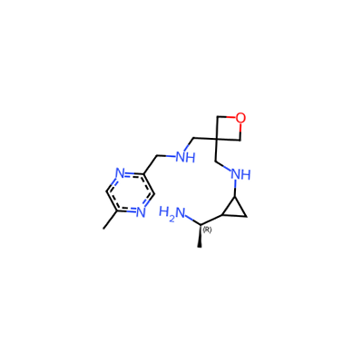 Cc1cnc(CNCC2(CNC3CC3[C@@H](C)N)COC2)cn1